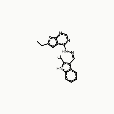 CCc1cc2c(N/N=C\c3c(Cl)[nH]c4ccccc34)ncnc2s1